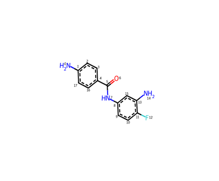 Nc1ccc(C(=O)Nc2ccc(F)c(N)c2)cc1